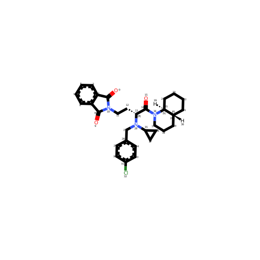 O=C1c2ccccc2C(=O)N1CC[C@H](C(=O)N1CCC[C@H]2CCCC[C@@H]21)N(Cc1ccc(Cl)cc1)C1CC1